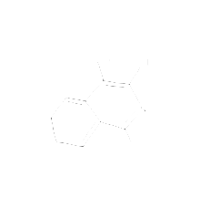 Cc1nc(C)c2c(c1C)=CCCC=2